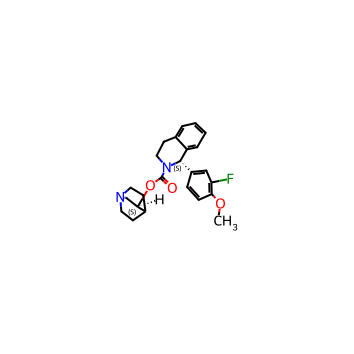 COc1ccc([C@H]2c3ccccc3CCN2C(=O)O[C@@H]2CN3CCC2CC3)cc1F